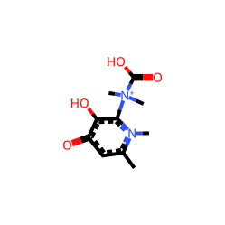 Cc1cc(=O)c(O)c([N+](C)(C)C(=O)O)n1C